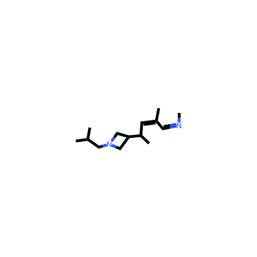 C/N=C\C(C)=C/C(C)C1CN(CC(C)C)C1